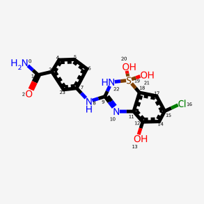 NC(=O)c1cccc(NC2=Nc3c(O)cc(Cl)cc3S(O)(O)N2)c1